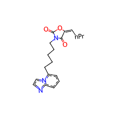 CCC/C=C1/OC(=O)N(CCCCCc2cccc3nccn23)C1=O